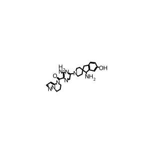 Nc1nc(N2CCC3(CC2)Cc2ccc(O)cc2C3N)cnc1C(=O)N1CCCn2nccc21